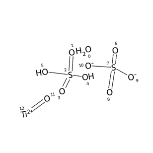 O.O=S(=O)(O)O.O=S(=O)([O-])[O-].[O]=[Ti+2]